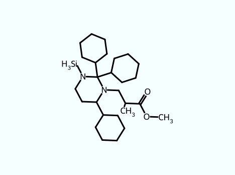 COC(=O)C(C)CN1C(C2CCCCC2)CCN([SiH3])C1(C1CCCCC1)C1CCCCC1